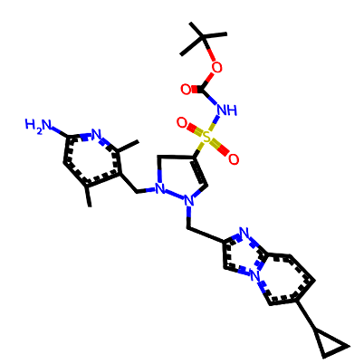 Cc1cc(N)nc(C)c1CN1CC(S(=O)(=O)NC(=O)OC(C)(C)C)=CN1Cc1cn2cc(C3CC3)ccc2n1